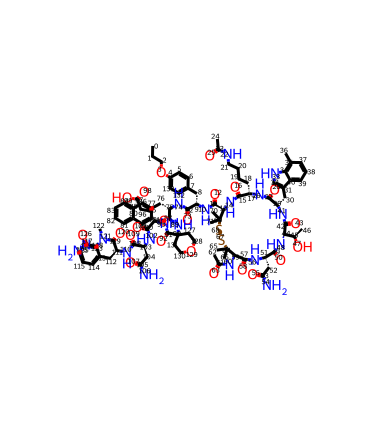 CCCOc1ccc(C[C@H](NC(=O)[C@H]2NC(=O)[C@H](CCCCNC(C)=O)NC(=O)[C@H](Cc3c[nH]c4c(C)cccc34)NC(=O)[C@H]([C@@H](C)O)NC(=O)[C@H](CC(N)=O)NC(=O)[C@@H](NC(C)=O)C(C)(C)SSC2(C)C)C(=O)N[C@@H](Cc2ccc3ccccc3c2)C(=O)NC2(C(=O)N[C@@H](CCC(=O)O)C(=O)N[C@@H](CC(N)=O)C(=O)N[C@@H](Cc3cccnc3)C(=O)N(C)CC(N)=O)CCOCC2)cc1